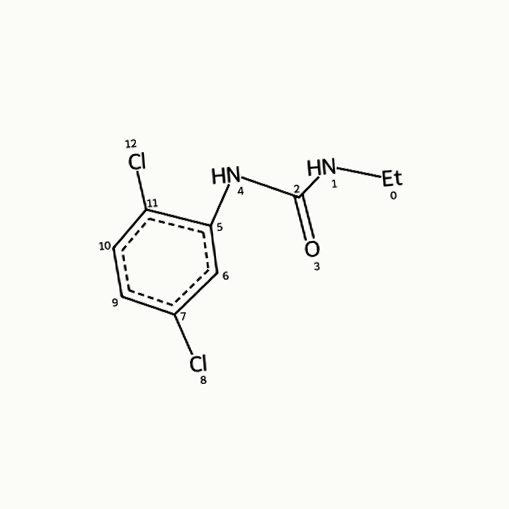 CCNC(=O)Nc1cc(Cl)ccc1Cl